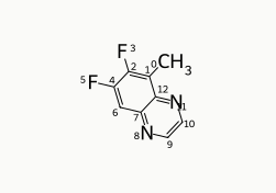 Cc1c(F)c(F)cc2nccnc12